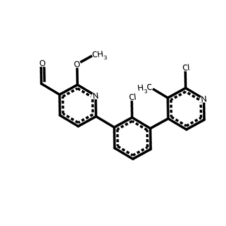 COc1nc(-c2cccc(-c3ccnc(Cl)c3C)c2Cl)ccc1C=O